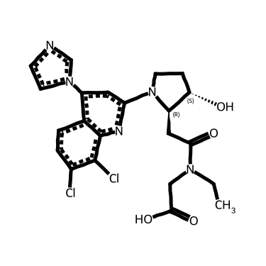 CCN(CC(=O)O)C(=O)C[C@@H]1[C@@H](O)CCN1c1cc(-n2ccnc2)c2ccc(Cl)c(Cl)c2n1